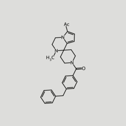 CC(=O)c1ccc2n1CCN(C)C21CCN(C(=O)c2ccc(Cc3ccccc3)cc2)CC1